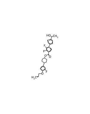 C=CCOc1ccc(C2CCC(OC(=O)c3ccc(-c4ccc(C(C)O)cc4)c(F)c3F)CC2)cc1F